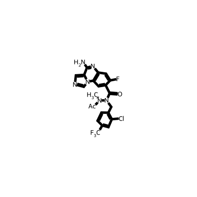 CC(=O)N(C)N(Cc1ccc(C(F)(F)F)cc1Cl)C(=O)c1cc2c(cc1F)nc(N)c1cncn12